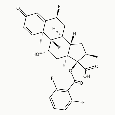 C[C@@H]1C[C@H]2[C@@H]3C[C@H](F)C4=CC(=O)C=C[C@]4(C)[C@@]3(F)[C@@H](O)C[C@]2(C)[C@@]1(OC(=O)c1c(F)cccc1F)C(=O)O